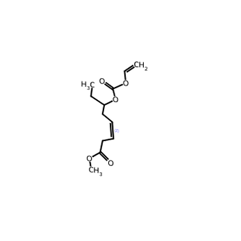 C=COC(=O)OC(CC)C/C=C\CC(=O)OC